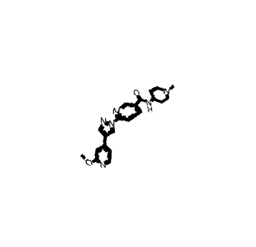 COc1cc(-c2cnn(-c3ccc(C(=O)NC4CCN(C)CC4)cn3)c2)ccn1